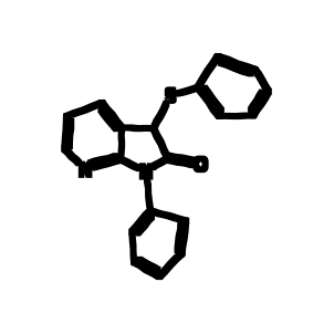 O=C1C(Sc2ccccc2)c2cccnc2N1c1ccccc1